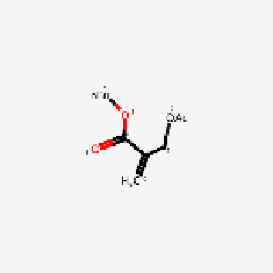 C=C(COC(C)=O)C(=O)OCCCC